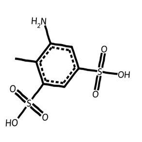 Cc1c(N)cc(S(=O)(=O)O)cc1S(=O)(=O)O